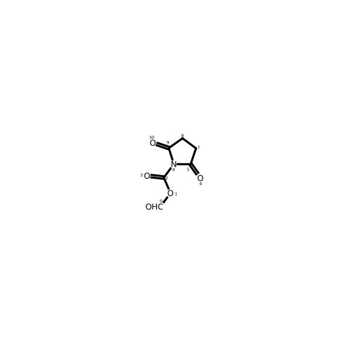 O=COC(=O)N1C(=O)CCC1=O